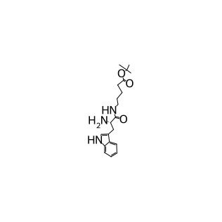 CC(C)(C)OC(=O)CCCCNC(=O)[C@@H](N)Cc1c[nH]c2ccccc12